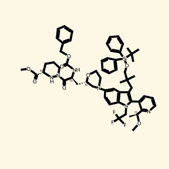 COC(=O)[C@@H]1CCCN(C(=O)[C@H](C[C@H]2CN(c3ccc4c(c3)c(CC(C)(C)CO[Si](c3ccccc3)(c3ccccc3)C(C)(C)C)c(-c3cccnc3[C@H](C)OC)n4CC(F)(F)F)CCO2)NC(=O)OCc2ccccc2)N1